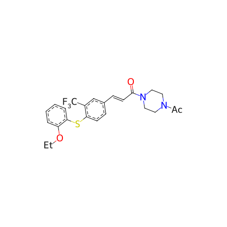 CCOc1ccccc1Sc1ccc(C=CC(=O)N2CCN(C(C)=O)CC2)cc1C(F)(F)F